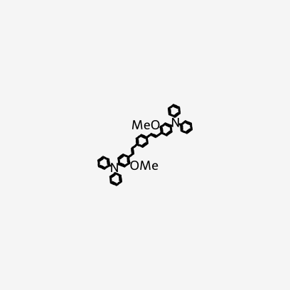 COc1cc(N(c2ccccc2)c2ccccc2)ccc1C=Cc1ccc(C=Cc2ccc(N(c3ccccc3)c3ccccc3)cc2OC)cc1